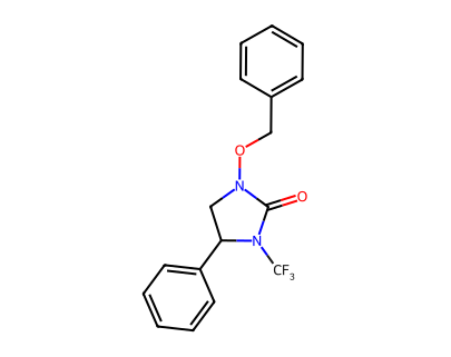 O=C1N(OCc2ccccc2)CC(c2ccccc2)N1C(F)(F)F